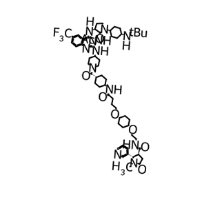 CC(=O)N[C@@H]1C[C@H](NC(C)(C)C)CC[C@@H]1N1CC[C@H](Nc2nc(NC3CCN(C(=O)[C@H]4CC[C@H](NC(=O)CCCO[C@H]5CC[C@H](OCCNC(=O)[C@H]6CC(=O)N(C)[C@@H]6c6cccnc6)CC5)CC4)CC3)nc3ccc(C(F)(F)F)cc23)C1=O